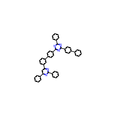 c1ccc(-c2ccc(-c3nc(-c4ccccc4)nc(-c4ccc(-c5cccc(-c6cc(-c7ccccc7)nc(-c7ccccc7)n6)c5)cc4)n3)cc2)cc1